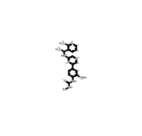 CCNC(=O)Nc1ccc(-c2cncc(NC(C)c3cccnc3C)n2)cc1OC